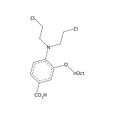 CCCCCCCCOc1cc(C(=O)O)ccc1N(CCCl)CCCl